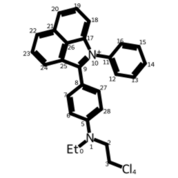 CCN(CCCl)c1ccc(C2=[N+](c3ccccc3)c3cccc4cccc2c34)cc1